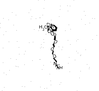 C[N+](C)(C)c1ncccc1OCCOCCOCCOCCN=[N+]=N